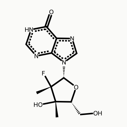 C[C@]1(O)[C@@H](CO)O[C@@H](n2cnc3c(=O)[nH]cnc32)[C@@]1(C)F